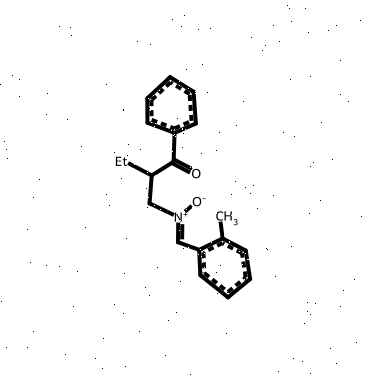 CCC(C[N+]([O-])=Cc1ccccc1C)C(=O)c1ccccc1